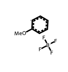 COc1[c]cccc1.F[B-](F)(F)F